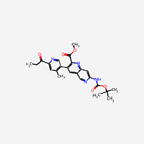 CCC(=O)c1cc(C)c(-c2cc3cnc(NC(=O)OC(C)(C)C)cc3nc2C(=O)OC)cn1